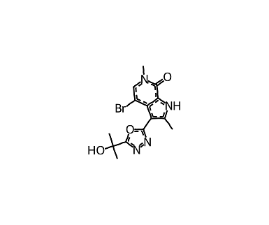 Cc1[nH]c2c(=O)n(C)cc(Br)c2c1-c1nnc(C(C)(C)O)o1